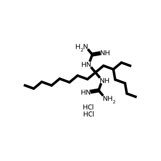 CCCCCCCCC(CC(CC)CCCC)(NC(=N)N)NC(=N)N.Cl.Cl